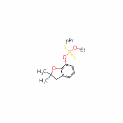 CCCSP(=S)(OCC)Oc1cccc2c1OC(C)(C)C2